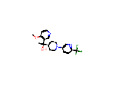 COc1ccncc1C(C)(O)C1CCN(c2ccc(C(F)(F)F)nc2)CC1